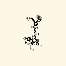 Cc1sc2c(c1C)C(c1ccc(Cl)cc1)=N[C@@H](CC(=O)NCCCC(=O)Nc1ccc(COP(=O)(OC(C)(C)C)OC(C)(C)C)c(C#CCN)c1)c1nnc(C)n1-2